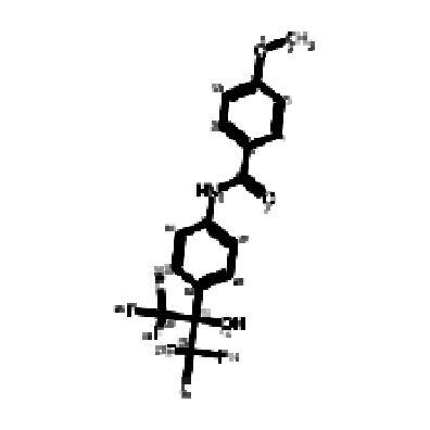 COc1ccc(C(=O)Nc2ccc(C(O)(C(F)(F)F)C(F)(F)F)cc2)cc1